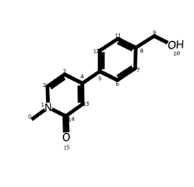 Cn1ccc(-c2ccc(CO)cc2)cc1=O